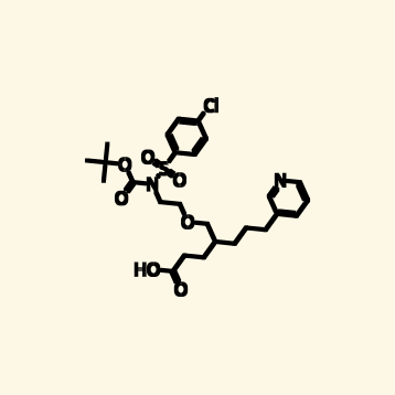 CC(C)(C)OC(=O)N(CCOCC(CCCc1cccnc1)CCC(=O)O)S(=O)(=O)c1ccc(Cl)cc1